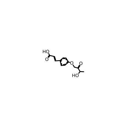 CC(O)C(=O)COc1ccc(C=CC(=O)O)cc1